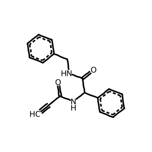 C#CC(=O)NC(C(=O)NCc1ccccc1)c1ccccc1